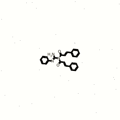 NC(=Nc1ccccc1)N(C(=O)C=Cc1ccccc1)C(=O)C=Cc1ccccc1